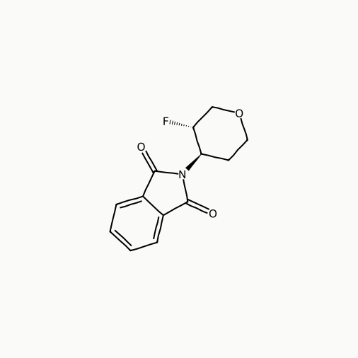 O=C1c2ccccc2C(=O)N1[C@@H]1CCOC[C@H]1F